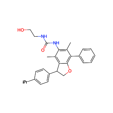 Cc1c(NC(=O)NCCO)c(C)c2c(c1-c1ccccc1)OCC2c1ccc(C(C)C)cc1